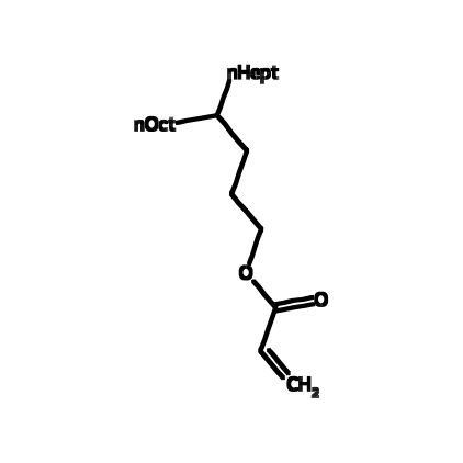 C=CC(=O)OCCCC(CCCCCCC)CCCCCCCC